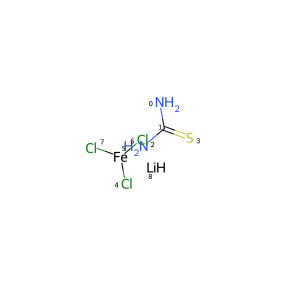 NC(N)=S.[Cl][Fe]([Cl])[Cl].[LiH]